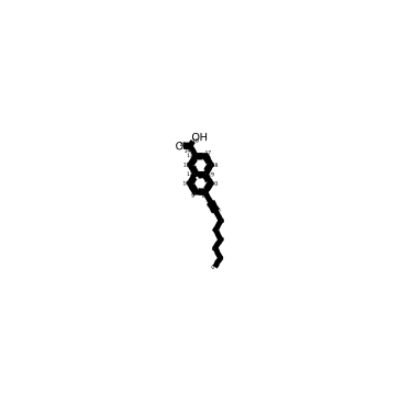 CCCCCCC#Cc1ccc2cc(C(=O)O)ccc2c1